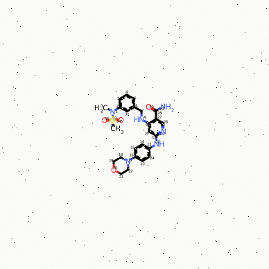 CN(c1cccc(CNc2cc(Nc3ccc(N4CCOCC4)cc3)ncc2C(N)=O)c1)S(C)(=O)=O